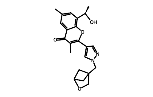 Cc1cc([C@@H](C)O)c2oc(-c3cnn(CC45COC(C4)C5)c3)c(C)c(=O)c2c1